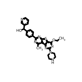 CCOc1nc(N2CCNCC2)nc2c1sc1nc(-c3ccc(C(O)c4cccnc4)cc3)nc(C)c12